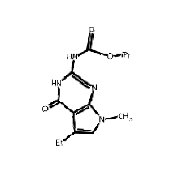 CCc1cn(C)c2nc(NC(=O)OC(C)C)[nH]c(=O)c12